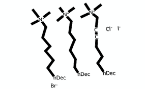 CCCCCCCCCCCCCCCC[N+](C)(C)C.CCCCCCCCCCCCCCCC[N+](C)(C)C.CCCCCCCCCCCCCCCC[N+](C)(C)C.[Br-].[Cl-].[I-]